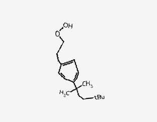 CC(C)(C)CC(C)(C)c1ccc(CCOO)cc1